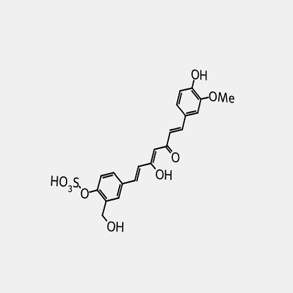 COc1cc(/C=C/C(=O)/C=C(O)/C=C/c2ccc(OS(=O)(=O)O)c(CO)c2)ccc1O